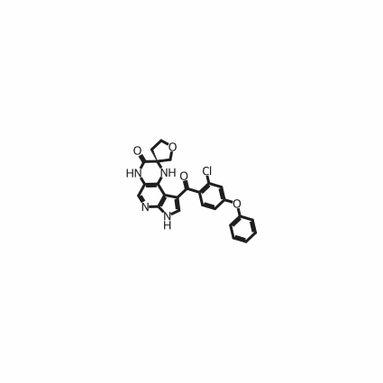 O=C(c1ccc(Oc2ccccc2)cc1Cl)c1c[nH]c2ncc3c(c12)N[C@]1(CCOC1)C(=O)N3